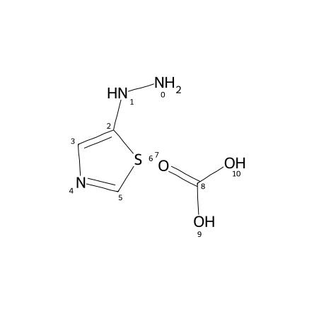 NNc1cncs1.O=C(O)O